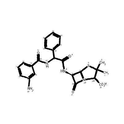 CC1(C)SC2[C@H](NC(=O)C(NC(=O)c3cccc(N)c3)c3ccccc3)C(=O)N2C1C(=O)O